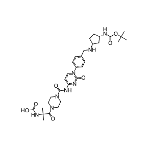 CC(C)(C)OC(=O)N[C@H]1CC[C@H](NCc2ccc(-n3ccc(NC(=O)N4CCN(C(=O)C(C)(C)NC(=O)O)CC4)nc3=O)cc2)C1